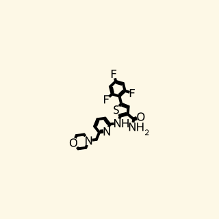 NC(=O)c1cc(-c2c(F)cc(F)cc2F)sc1Nc1cccc(CN2CCOCC2)n1